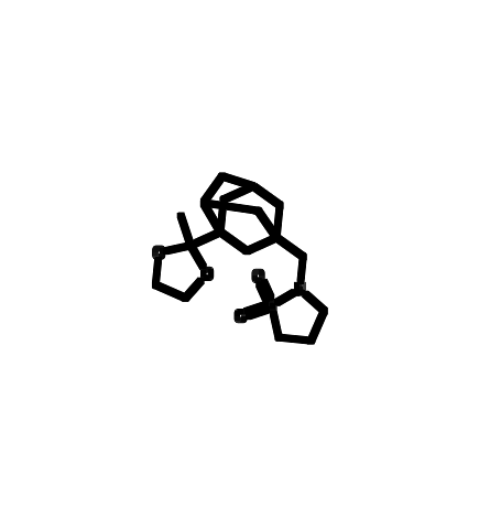 CC1(C23CC4CC2CC(CN2CCCS2(=O)=O)(C4)C3)OCCO1